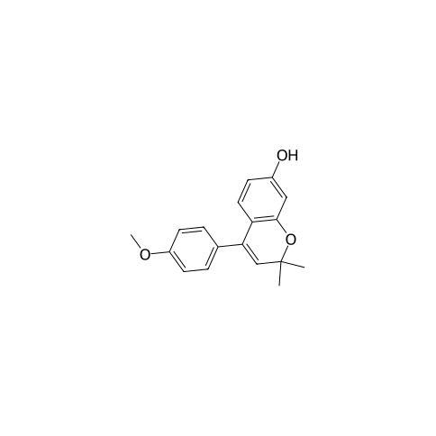 COc1ccc(C2=CC(C)(C)Oc3cc(O)ccc32)cc1